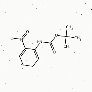 CC(C)(C)OC(=O)NC1=CCCC=C1[N+](=O)[O-]